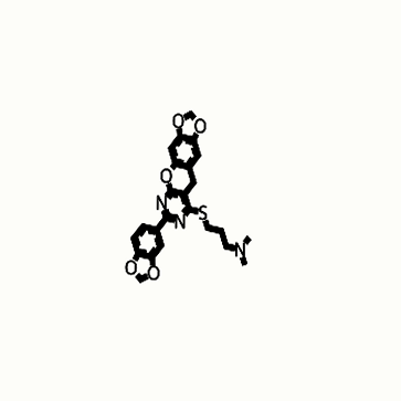 CN(C)CCCSc1nc(-c2ccc3c(c2)OCO3)nc2c1Cc1cc3c(cc1O2)OCO3